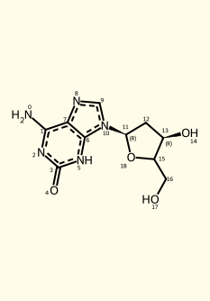 Nc1nc(=O)[nH]c2c1ncn2[C@H]1C[C@@H](O)C(CO)O1